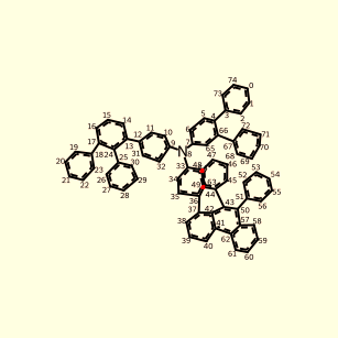 c1ccc(-c2ccc(N(c3ccc(-c4cccc(-c5ccccc5)c4-c4ccccc4)cc3)c3ccc(-c4cccc5c4c(-c4ccccc4)c(-c4ccccc4)c4ccccc45)cc3)cc2-c2ccccc2)cc1